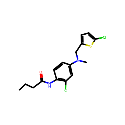 CCCC(=O)Nc1ccc(N(C)Cc2ccc(Cl)s2)cc1Cl